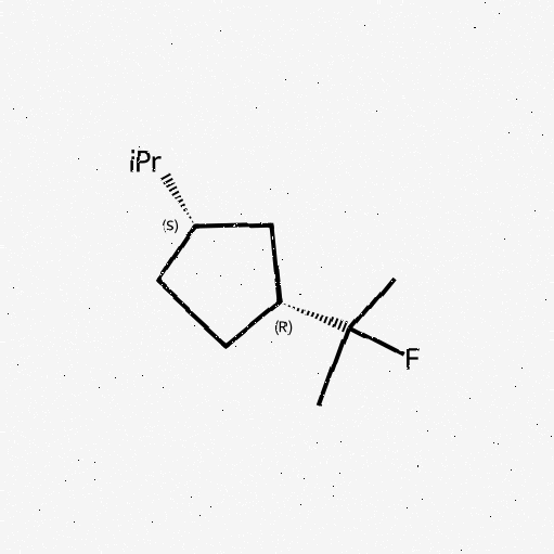 CC(C)[C@H]1CC[C@@H](C(C)(C)F)C1